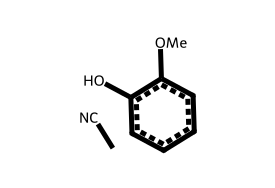 CC#N.COc1ccccc1O